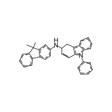 CC1(C)c2ccccc2-c2ccc(NC3C=Cc4c(c5ccccc5n4-c4ccccc4)C3)cc21